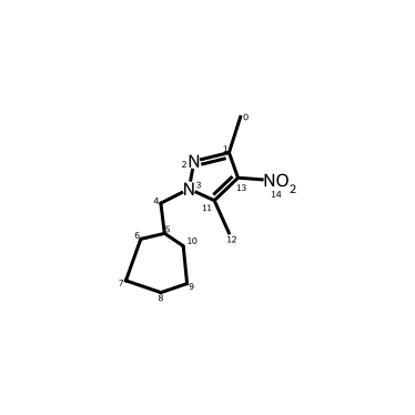 Cc1nn(CC2CCCCC2)c(C)c1[N+](=O)[O-]